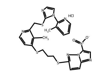 Cc1cccnc1-n1ccnc1SCc1nccc(SCCCSc2ccc3ncc([N+](=O)[O-])n3n2)c1C.Cl